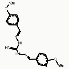 CCCCOc1ccc(/C=N/NC(=N)N/N=C/c2ccc(OCCCC)cc2)cc1